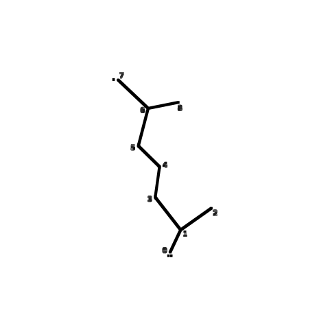 [CH]C(C)CCCC([CH2])C